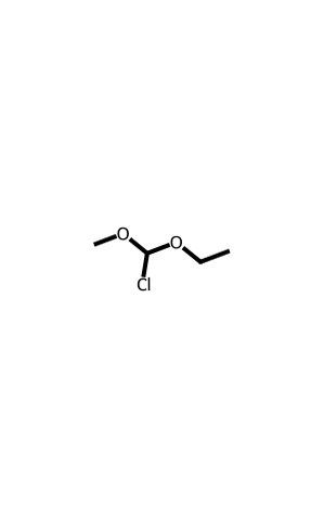 CCOC(Cl)OC